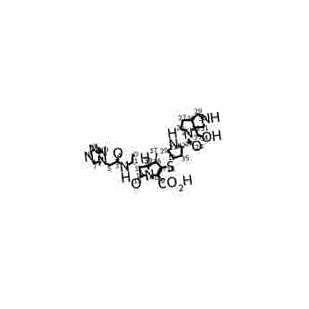 CC(NC(=O)Cn1cnnn1)[C@H]1C(=O)N2C(C(=O)O)=C(S[C@@H]3CN[C@H](C(=O)N4CCC5CNCC54CO)C3)[C@H](C)[C@H]12